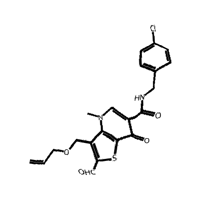 C=CCOCc1c(C=O)sc2c(=O)c(C(=O)NCc3ccc(Cl)cc3)cn(C)c12